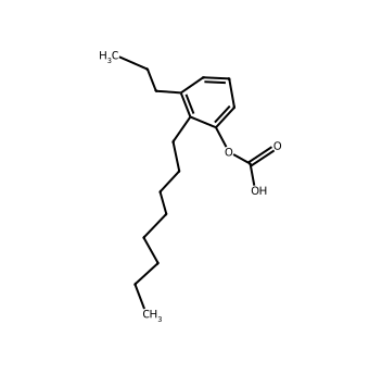 CCCCCCCCc1c(CCC)cccc1OC(=O)O